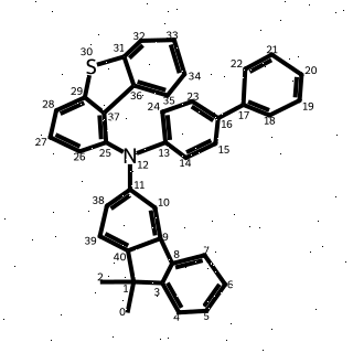 CC1(C)c2ccccc2-c2cc(N(c3ccc(-c4ccccc4)cc3)c3cccc4sc5ccccc5c34)ccc21